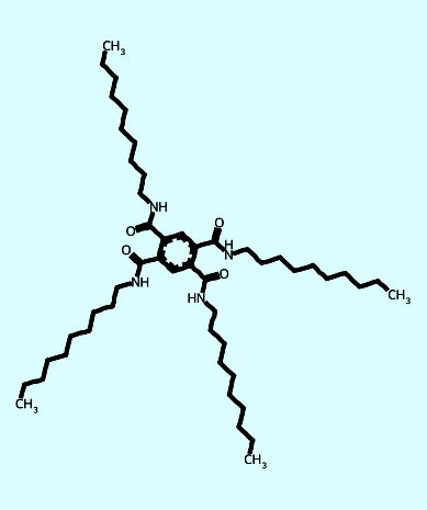 CCCCCCCCCCNC(=O)c1cc(C(=O)NCCCCCCCCCC)c(C(=O)NCCCCCCCCCC)cc1C(=O)NCCCCCCCCCC